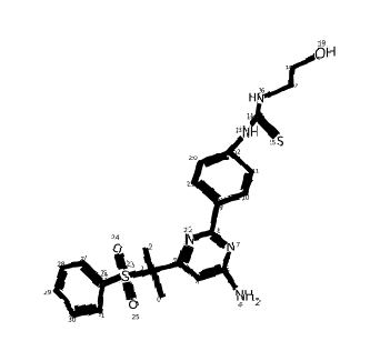 CC(C)(c1cc(N)nc(-c2ccc(NC(=S)NCCO)cc2)n1)S(=O)(=O)c1ccccc1